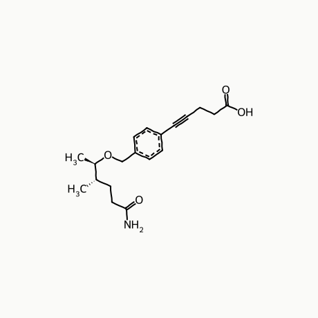 C[C@@H](CCC(N)=O)[C@@H](C)OCc1ccc(C#CCCC(=O)O)cc1